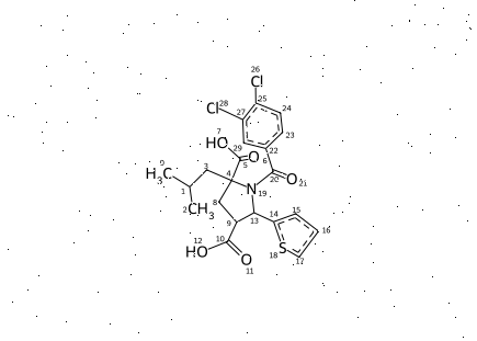 CC(C)CC1(C(=O)O)CC(C(=O)O)C(c2cccs2)N1C(=O)c1ccc(Cl)c(Cl)c1